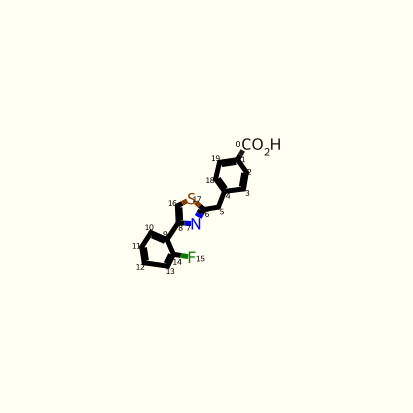 O=C(O)c1ccc(Cc2nc(-c3ccccc3F)cs2)cc1